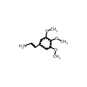 COc1cc(C=CN)cc(OC)c1OC